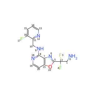 NCC(F)(F)c1nc2c(NCc3ncccc3F)nccc2o1